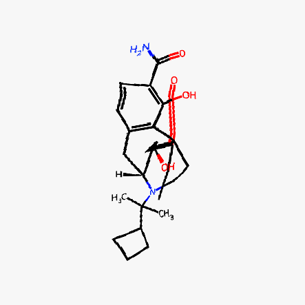 CC(C)(C1CCC1)N1CCC23CC(=O)CC[C@@]2(O)[C@H]1Cc1ccc(C(N)=O)c(O)c13